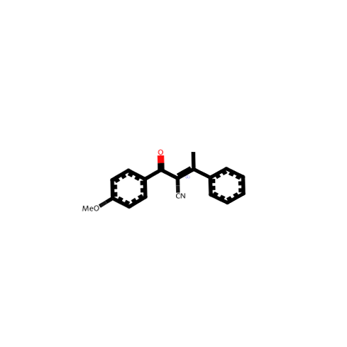 COc1ccc(C(=O)/C(C#N)=C(\C)c2ccccc2)cc1